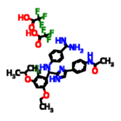 CCOc1cc(OC(C)C)c(F)c(C(Nc2ccc(C(=N)N)cc2)c2nc(-c3ccc(NC(C)=O)cc3)c[nH]2)c1.O=C(O)C(F)(F)F.O=C(O)C(F)(F)F